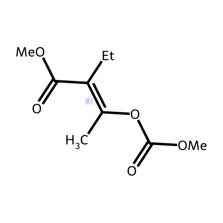 CC/C(C(=O)OC)=C(/C)OC(=O)OC